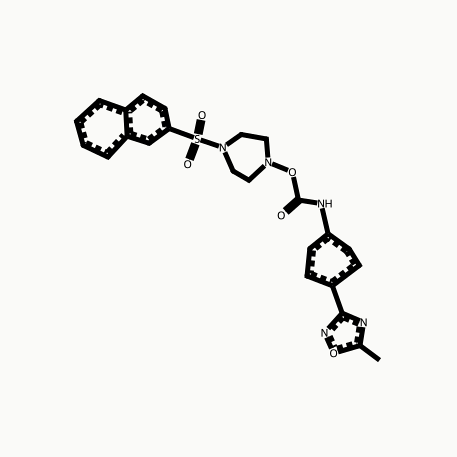 Cc1nc(-c2ccc(NC(=O)ON3CCN(S(=O)(=O)c4ccc5ccccc5c4)CC3)cc2)no1